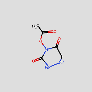 CC(=O)ON1C(=O)CNNC1=O